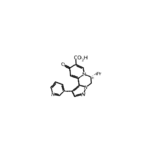 CC(C)[C@@H]1Cn2ncc(-c3cccnc3)c2-c2cc(=O)c(C(=O)O)cn21